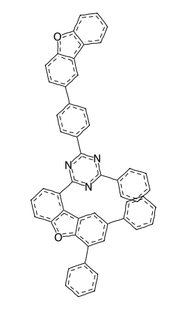 c1ccc(-c2cc(-c3ccccc3)c3oc4cccc(-c5nc(-c6ccccc6)nc(-c6ccc(-c7ccc8oc9ccccc9c8c7)cc6)n5)c4c3c2)cc1